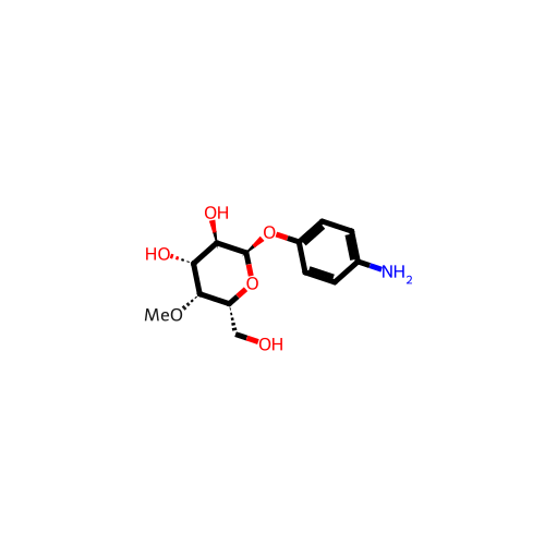 CO[C@@H]1[C@H](O)[C@@H](O)[C@@H](Oc2ccc(N)cc2)O[C@@H]1CO